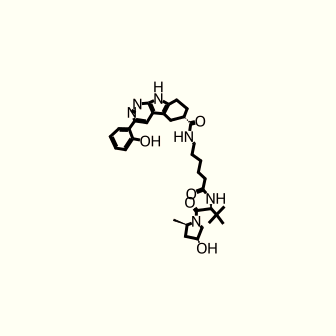 C[C@@H]1C[C@@H](O)CN1C(=O)[C@@H](NC(=O)CCCCCNC(=O)[C@H]1CCc2[nH]c3nnc(-c4ccccc4O)cc3c2C1)C(C)(C)C